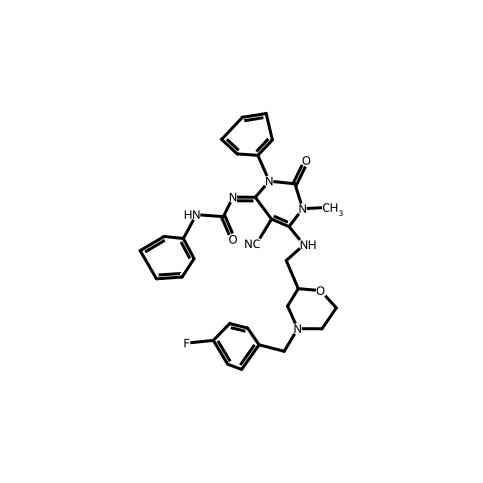 Cn1c(NCC2CN(Cc3ccc(F)cc3)CCO2)c(C#N)c(=NC(=O)Nc2ccccc2)n(-c2ccccc2)c1=O